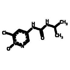 CC(C)NC(=O)Nc1cn[n+]([O-])c(Cl)c1